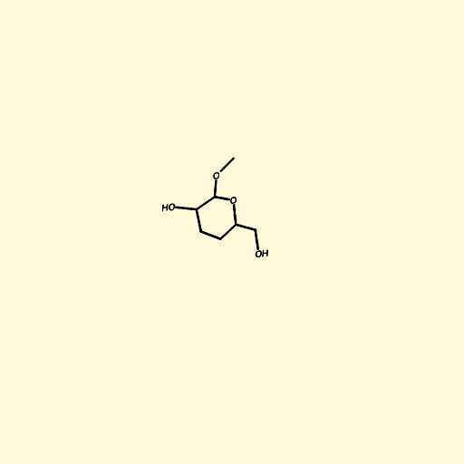 COC1OC(CO)CCC1O